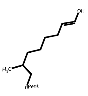 CCCCCCC(C)CCCC/C=C/O